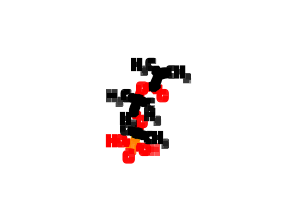 C=C(C)C(=O)OC(C)(C)COC(C)(C)P(=O)(O)O